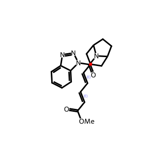 COC(=O)/C=C/C=C/C1CC2CCC(C1)N2C(=O)n1nnc2ccccc21